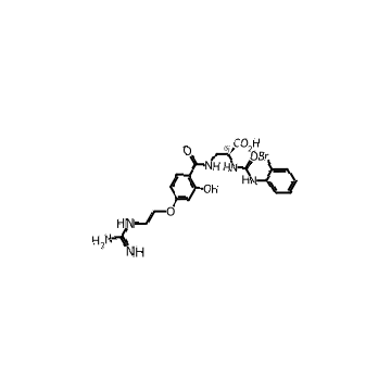 N=C(N)NCCOc1ccc(C(=O)NC[C@H](NC(=O)Nc2ccccc2Br)C(=O)O)c(O)c1